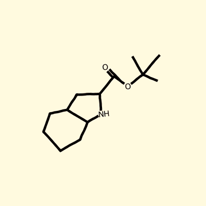 CC(C)(C)OC(=O)C1CC2CCCCC2N1